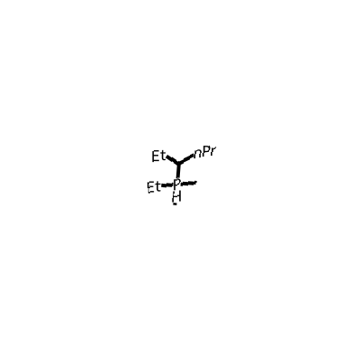 CCCC(CC)[PH](C)(C)CC